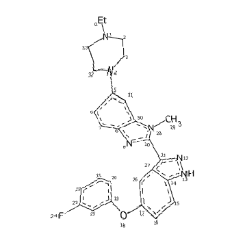 CCN1CCN(c2ccc3nc(-c4n[nH]c5ccc(Oc6cccc(F)c6)cc45)n(C)c3c2)CC1